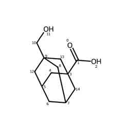 O=C(O)C12CC3CC(CC(CO)(C3)C1)C2